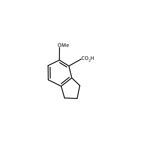 COc1ccc2c(c1C(=O)O)CCC2